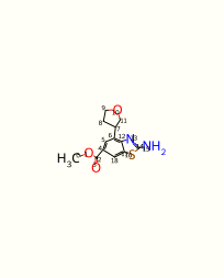 COC(=O)c1cc(C2CCOC2)c2nc(N)sc2c1